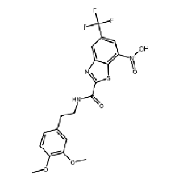 COc1ccc(CCNC(=O)c2nc3cc(C(F)(F)F)cc([N+](=O)O)c3s2)cc1OC